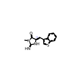 CN1C(=N)N/C(=C\c2csc3ccccc23)C1=O